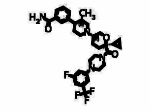 C[C@H]1CN([C@@H]2CC[C@@](C(=O)N3CCN(c4cc(F)cc(C(F)(F)F)c4)CC3)(C3CC3)OC2)CCC1c1cccc(C(N)=O)c1